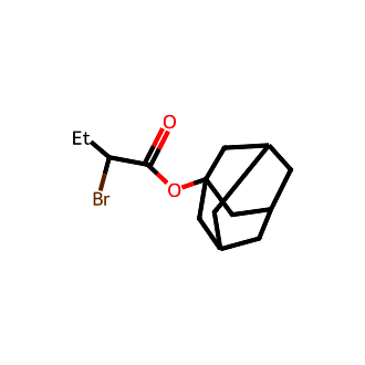 CCC(Br)C(=O)OC12CC3CC(CC(C3)C1)C2